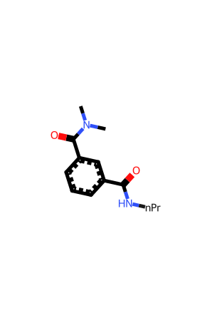 CCCNC(=O)c1cccc(C(=O)N(C)C)c1